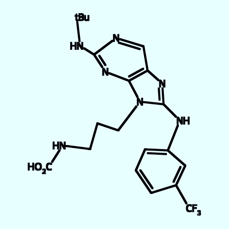 CC(C)(C)Nc1ncc2nc(Nc3cccc(C(F)(F)F)c3)n(CCCNC(=O)O)c2n1